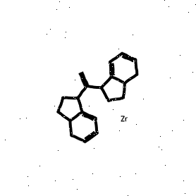 C=C(C1CCC2CC=CC=C21)C1CCC2CC=CC=C21.[Zr]